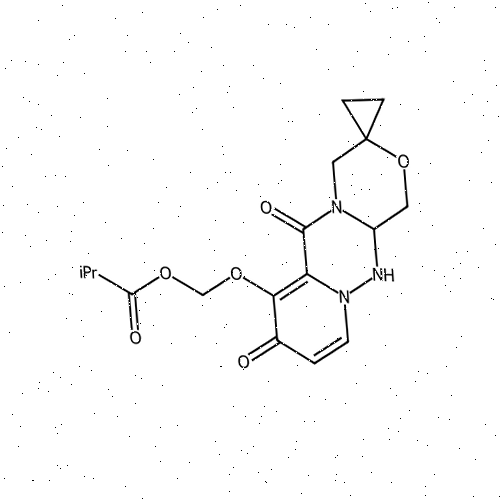 CC(C)C(=O)OCOc1c2n(ccc1=O)NC1COC3(CC3)CN1C2=O